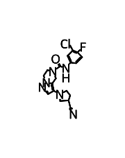 N#CC1CCN(c2cnn3c2CN(C(=O)Nc2ccc(F)c(Cl)c2)CC3)C1